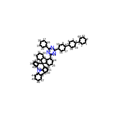 c1ccc(-c2ccc(-c3ccc(-c4nc(-c5ccccc5)nc(-c5cccc6c5-c5ccccc5C65c6ccccc6-n6c7ccccc7c7cccc5c76)n4)cc3)cc2)cc1